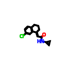 O=C(/C=C1\CCCc2ccc(Cl)cc21)NC1CC1